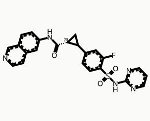 O=C(Nc1ccc2cnccc2c1)[C@@H]1CC1c1ccc(S(=O)(=O)Nc2ncccn2)c(F)c1